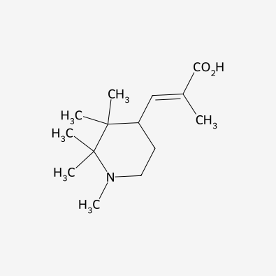 CC(=CC1CCN(C)C(C)(C)C1(C)C)C(=O)O